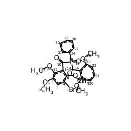 COc1cc(Br)c(OC)c(C(=O)P(=O)(C(=O)c2c(OC)cccc2OC)c2ccccc2)c1OC